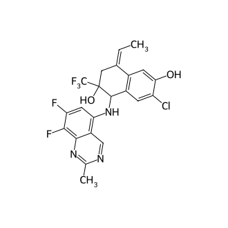 C/C=C1/CC(O)(C(F)(F)F)C(Nc2cc(F)c(F)c3nc(C)ncc23)c2cc(Cl)c(O)cc21